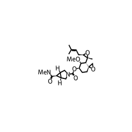 CNC(=O)[C@H]1[C@@H]2CN(C(=O)O[C@@H]3CC[C@]4(CO4)[C@@H]([C@@]4(C)O[C@@H]4CC=C(C)C)[C@@H]3OC)C[C@@H]21